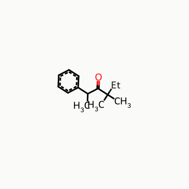 CCC(C)(C)C(=O)C(C)c1ccccc1